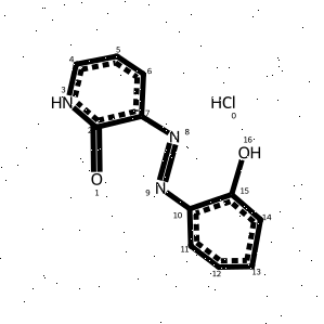 Cl.O=c1[nH]cccc1N=Nc1ccccc1O